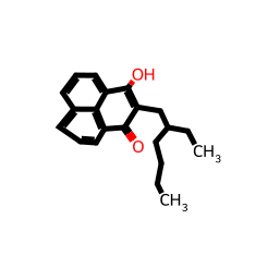 CCCCC(CC)CC1=C(O)c2cccc3cccc(c23)C1=O